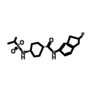 CC(C)S(=O)(=O)N[C@H]1CC[C@H](C(=O)Nc2ccc3c(c2)CC(F)C3)CC1